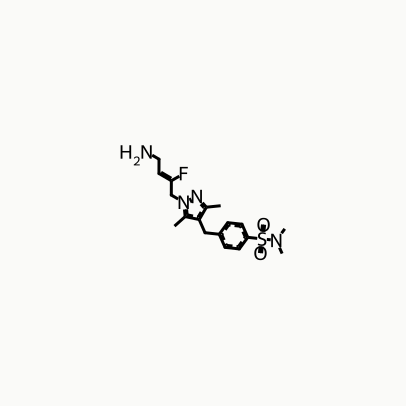 Cc1nn(CC(F)=CCN)c(C)c1Cc1ccc(S(=O)(=O)N(C)C)cc1